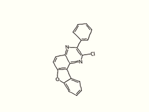 Clc1nc2c(ccc3oc4ccccc4c32)nc1-c1ccccc1